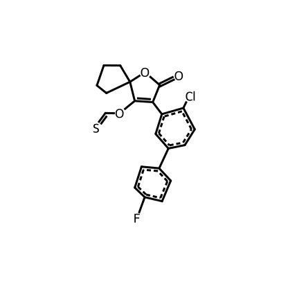 O=C1OC2(CCCC2)C(OC=S)=C1c1cc(-c2ccc(F)cc2)ccc1Cl